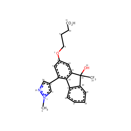 Cn1cc(-c2cc(OCCCC(=O)O)cc3c2-c2ccccc2C3(O)C(F)(F)F)cn1